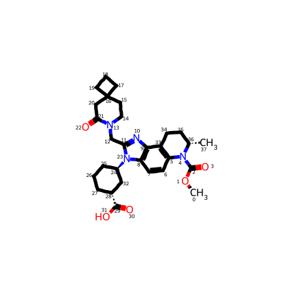 COC(=O)N1c2ccc3c(nc(CN4CCC5(CCC5)CC4=O)n3[C@@H]3CCC[C@@H](C(=O)O)C3)c2CC[C@@H]1C